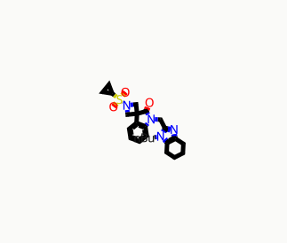 CCCCn1c(CN2C(=O)C3(CN(S(=O)(=O)C4CC4)C3)c3ccccc32)nc2c1CCCC2